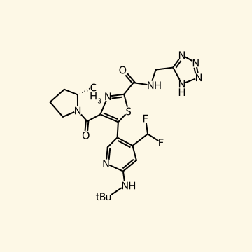 C[C@H]1CCCN1C(=O)c1nc(C(=O)NCc2nnn[nH]2)sc1-c1cnc(NC(C)(C)C)cc1C(F)F